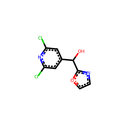 OC(c1cc(Cl)nc(Cl)c1)c1ncco1